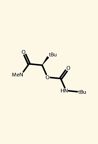 CNC(=O)[C@H](OC(=O)NC(C)(C)C)C(C)(C)C